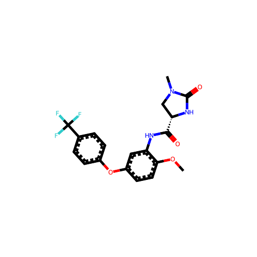 COc1ccc(Oc2ccc(C(F)(F)F)cc2)cc1NC(=O)[C@@H]1CN(C)C(=O)N1